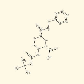 CC(C)(C)OC(=O)NC1CCN(C(=O)OCc2ccccc2)C[C@@H]1C(=O)O